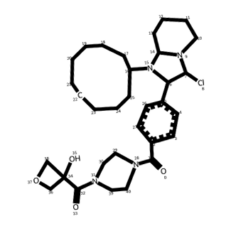 O=C(c1ccc(C2C(Cl)N3CCCCC3N2C2CCCCCCCCC2)cc1)N1CCN(C(=O)C2(O)COC2)CC1